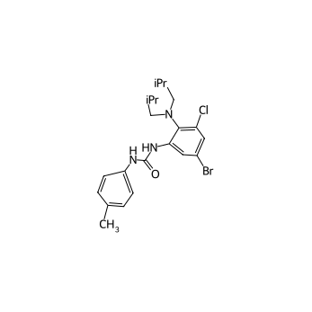 Cc1ccc(NC(=O)Nc2cc(Br)cc(Cl)c2N(CC(C)C)CC(C)C)cc1